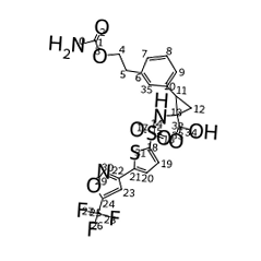 NC(=O)OCCc1cccc(C2CC2(NS(=O)(=O)c2ccc(-c3cc(C(F)(F)F)on3)s2)C(=O)O)c1